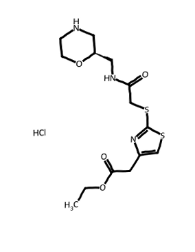 CCOC(=O)Cc1csc(SCC(=O)NC[C@@H]2CNCCO2)n1.Cl